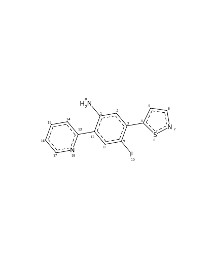 Nc1cc(-c2ccns2)c(F)cc1-c1ccccn1